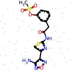 CS(=O)(=O)Oc1cccc(CC(=O)Nc2nc(-c3nonc3N)cs2)c1